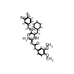 COc1ccc(CC(=O)N=C(N)NC(CC2CCCCC2)C(=O)NCc2ccc(F)c(F)c2)cc1OC